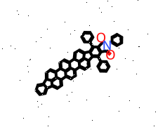 O=C1c2c(c(-c3ccccc3)c3c(c2-c2ccccc2)-c2ccc4c5ccc6c7ccc8c9c(ccc(c%10ccc(c%11ccc-3c2c4%11)c5c6%10)c97)-c2ccccc2-8)C(=O)N1c1ccccc1